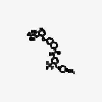 CN1CCN(Cc2ccc(NC(=O)N3CCc4ccc(Oc5ccnc6[nH]c(C7(O)CC7)cc56)cc4C3)cc2C(F)(F)F)CC1